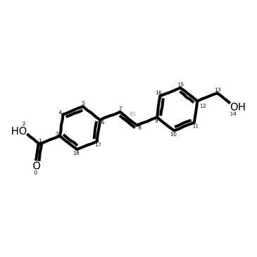 O=C(O)c1ccc(/C=C/c2ccc(CO)cc2)cc1